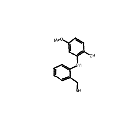 COc1ccc(O)c(Pc2ccccc2CS)c1